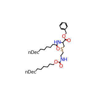 CCCCCCCCCCCCCCCCOC(=O)NCCSCC(NC(=O)CCCCCCCCCCCCCCC)C(=O)OCc1ccccc1